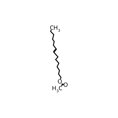 CCCCCC/C=C/CCCCCCCOC(C)=O